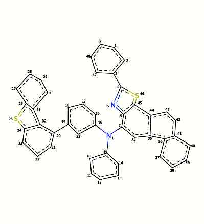 c1ccc(-c2nc3c(N(c4ccccc4)c4cccc(-c5cccc6sc7ccccc7c56)c4)cc4c5ccccc5ccc4c3s2)cc1